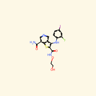 NC(=O)c1cncc2c(Nc3ccc(I)cc3F)c(C(=O)NOCCO)sc12